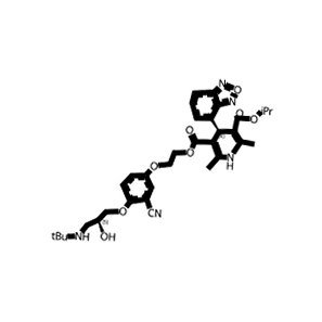 CC1=C(C(=O)OCCOc2ccc(OC[C@@H](O)CNC(C)(C)C)c(C#N)c2)[C@@H](c2cccc3nonc23)C(C(=O)OC(C)C)=C(C)N1